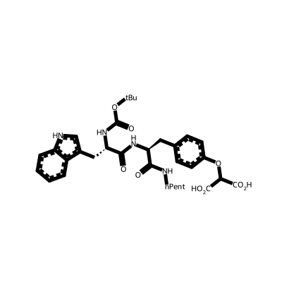 CCCCCNC(=O)[C@H](Cc1ccc(OC(C(=O)O)C(=O)O)cc1)NC(=O)[C@H](Cc1c[nH]c2ccccc12)NC(=O)OC(C)(C)C